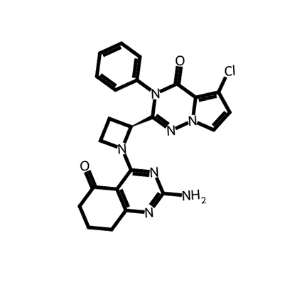 Nc1nc2c(c(N3CC[C@H]3c3nn4ccc(Cl)c4c(=O)n3-c3ccccc3)n1)C(=O)CCC2